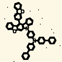 c1ccc(-c2ccc(N(c3ccc(-c4ccccc4)cc3)c3ccc(-n4c5ccccc5c5c(-c6ccc7c(c6)oc6ccccc67)c6c(cc54)oc4ccccc46)cc3)cc2)cc1